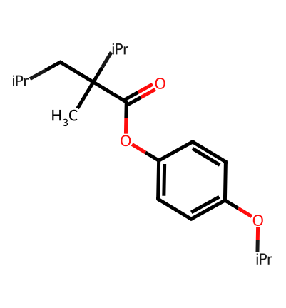 CC(C)CC(C)(C(=O)Oc1ccc(OC(C)C)cc1)C(C)C